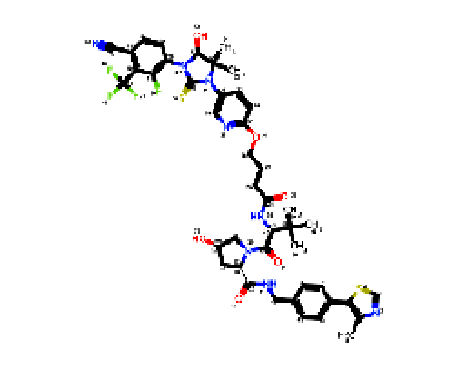 Cc1ncsc1-c1ccc(CNC(=O)[C@@H]2C[C@@H](O)CN2C(=O)[C@@H](NC(=O)CCCOc2ccc(N3C(=S)N(c4ccc(C#N)c(C(F)(F)F)c4F)C(O)C3(C)C)cn2)C(C)(C)C)cc1